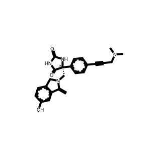 C=C1c2cc(O)ccc2CN1C[C@@]1(c2ccc(C#CCN(C)C)cc2)NC(=O)NC1=O